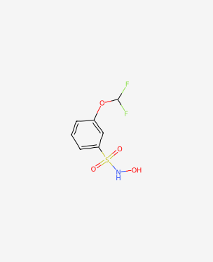 O=S(=O)(NO)c1cccc(OC(F)F)c1